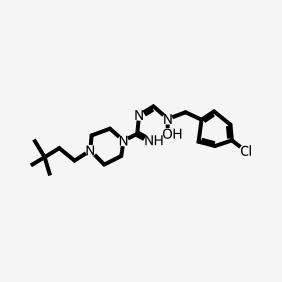 CC(C)(C)CCN1CCN(C(=N)/N=C\N(O)Cc2ccc(Cl)cc2)CC1